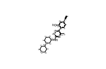 C#Cc1ccc(-c2nnc(NC3CCCN(C4CCOCC4)C3)nc2C)c(O)c1